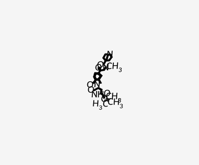 CN(CC(=O)c1ccc2c(c1)CN(C(CCC(=O)OC(C)(C)C)C(N)=O)C2=O)C(=O)C12CCN(CC1)CC2